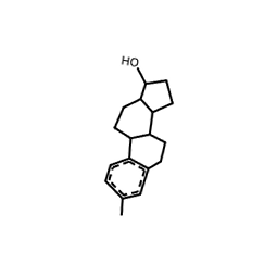 Cc1ccc2c(c1)CCC1C2CCC2C(O)CCC21